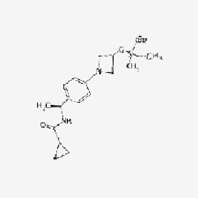 C[C@H](NC(=O)C1CC1)c1ccc(N2CC(O[Si](C)(C)C(C)(C)C)C2)cc1